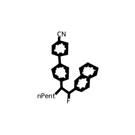 CCCCCC(c1ccc(-c2ccc(C#N)cc2)cc1)C(F)c1ccc2ccccc2c1